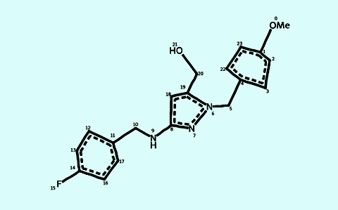 COc1ccc(Cn2nc(NCc3ccc(F)cc3)cc2CO)cc1